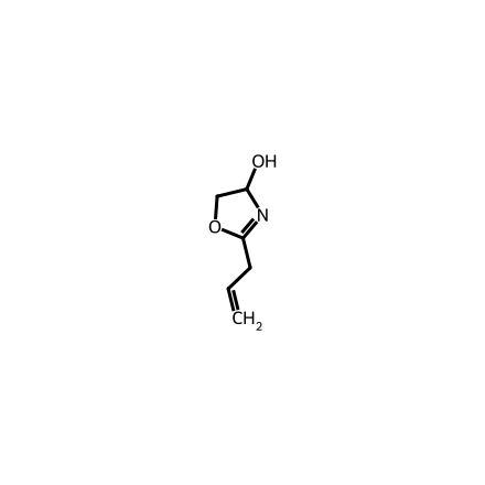 C=CCC1=NC(O)CO1